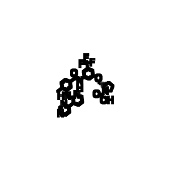 Cc1ccc(C(=O)Nc2cc(OC[C@@H]3CCCN3C(=O)O)cc(C(F)(F)F)c2)cc1Nc1ncccc1-c1ccncn1